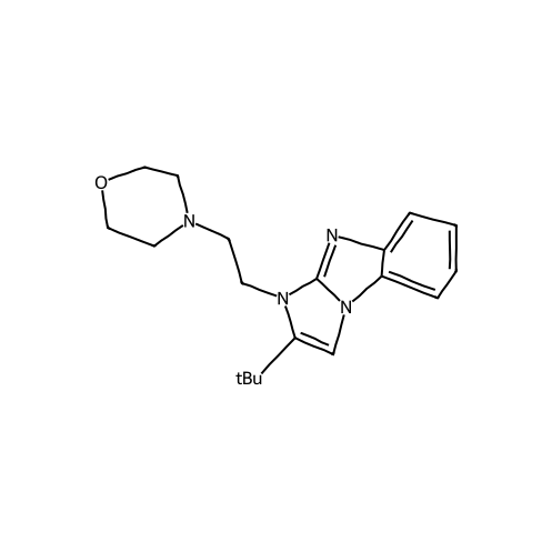 CC(C)(C)c1cn2c3ccccc3nc2n1CCN1CCOCC1